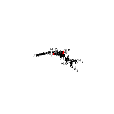 COc1cc(C(=O)Nc2ccc3c(c2)C(=O)OC32c3ccc(OC(C)=O)cc3Oc3c2ccc(OC(C)=O)c3CN(C)CCC(=O)NCCOCCOCCCCCCCl)ccc1N(CC(=O)OCOC(C)=O)CC(=O)OCOC(C)=O